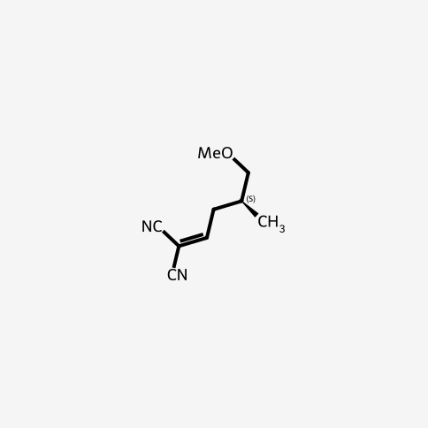 COC[C@@H](C)CC=C(C#N)C#N